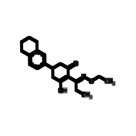 CCON=C(CC)C1=C(O)CC(c2ccc3c(c2)CCCC3)CC1=O